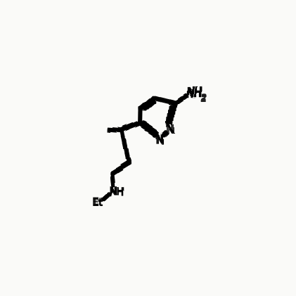 CCNCCC(C)c1ccc(N)nn1